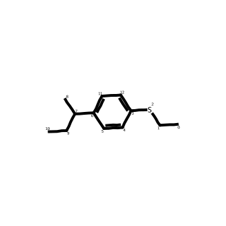 CCSc1ccc(C(C)CC)cc1